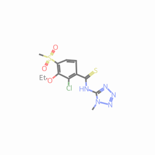 CCOc1c(S(C)(=O)=O)ccc(C(=S)Nc2nnnn2C)c1Cl